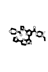 CCN(CC)[C@@H](C)CNC(=O)c1cc(-c2cnn3ccc(-c4cccs4)nc23)nc(N2CC[C@H]2C(=O)N2CCOCC2)c1